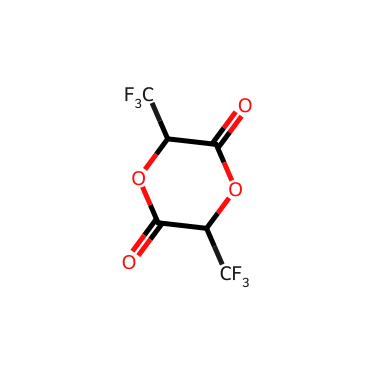 O=C1OC(C(F)(F)F)C(=O)OC1C(F)(F)F